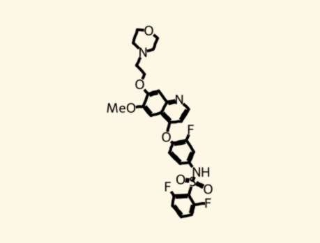 COc1cc2c(Oc3ccc(NS(=O)(=O)c4c(F)cccc4F)cc3F)ccnc2cc1OCCN1CCOCC1